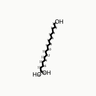 OCCCCCCCCCCCCCCCCCC(O)O